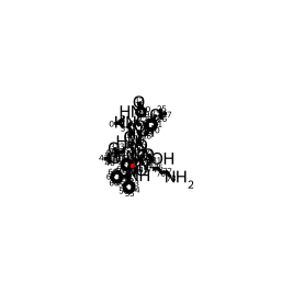 CC(C)C[C@H](NC(=O)[C@@H]1CCC(=O)N1)C(=O)N[C@@H](Cc1ccc(OC(C)(C)C)cc1)C(=O)N[C@@H](CCC(=O)OC(C)(C)C)C(=O)N[C@@H](CC(=O)NC(c1ccccc1)(c1ccccc1)c1ccccc1)C(=O)N[C@@H](CCCCN)C(=O)O